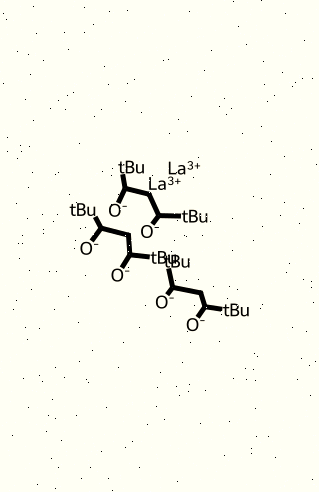 CC(C)(C)C([O-])CC([O-])C(C)(C)C.CC(C)(C)C([O-])CC([O-])C(C)(C)C.CC(C)(C)C([O-])CC([O-])C(C)(C)C.[La+3].[La+3]